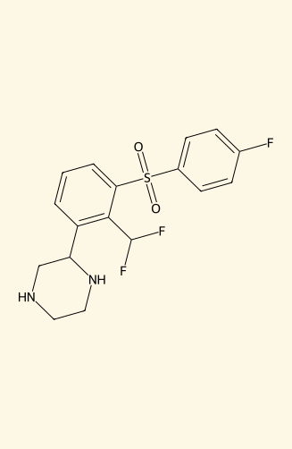 O=S(=O)(c1ccc(F)cc1)c1cccc(C2CNCCN2)c1C(F)F